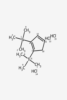 C[Si](C)(C)C1=[C]([Ti]([CH3])([CH3])[CH3])CC=C1.Cl.Cl.Cl